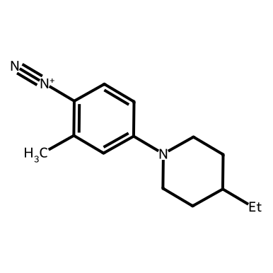 CCC1CCN(c2ccc([N+]#N)c(C)c2)CC1